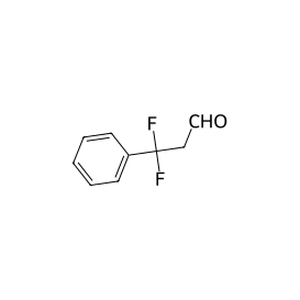 O=CCC(F)(F)c1ccccc1